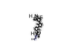 C=N/C(=C\C=C/C)NC(=O)c1cccc(-c2cccc(-c3cc(F)c(CN)c(OC)c3)c2C)c1C